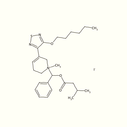 CCCCCCOc1nsnc1C1=CCC[N+](C)(C(OC(=O)CC(C)C)c2ccccc2)C1.[I-]